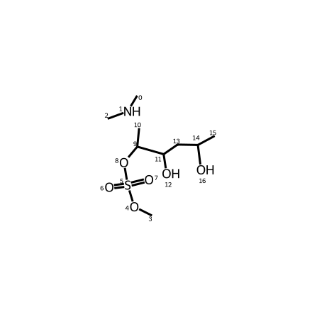 CNC.COS(=O)(=O)OC(C)C(O)CC(C)O